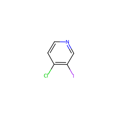 Clc1ccncc1I